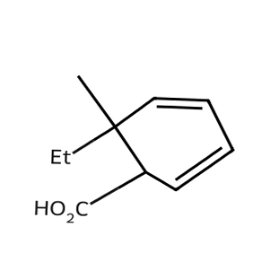 CCC1(C)C=CC=CC1C(=O)O